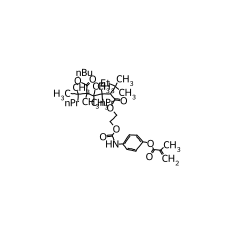 C=C(C)C(=O)Oc1ccc(NC(=O)OCCOC(=O)C(C(C)(C)CC)C(C)(CCC)C(C)(C)C(C)(C(=O)OCCCC)C(C)(C)CCC)cc1